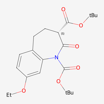 CCOc1ccc2c(c1)N(C(=O)OC(C)(C)C)C(=O)[C@@H](C(=O)OC(C)(C)C)CC2